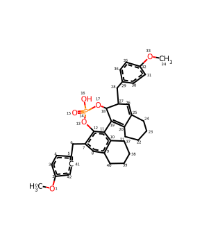 COc1ccc(Cc2cc3c(c4c2OP(=O)(O)OC2C4=C4CCCCC4=CC2Cc2ccc(OC)cc2)CCCC3)cc1